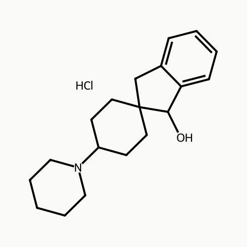 Cl.OC1c2ccccc2CC12CCC(N1CCCCC1)CC2